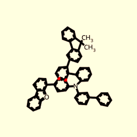 CC1(C)c2ccccc2-c2cc(-c3ccccc3-c3ccccc3N(c3ccc(-c4cccc5c4oc4ccccc45)cc3)c3cccc(-c4ccccc4)c3)ccc21